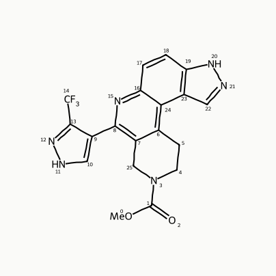 COC(=O)N1CCc2c(c(-c3c[nH]nc3C(F)(F)F)nc3ccc4[nH]ncc4c23)C1